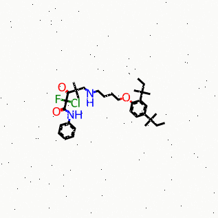 CCC(C)(C)c1ccc(OCCCCNCC(C)(C)C(=O)C(F)(Cl)C(=O)Nc2ccccc2)c(C(C)(C)CC)c1